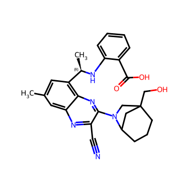 Cc1cc([C@@H](C)Nc2ccccc2C(=O)O)c2nc(N3CC4(CO)CCCC3C4)c(C#N)nc2c1